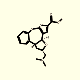 COC(=O)c1cc2c(s1)Sc1ccccc1[C@H]1C[C@H](CN(C)C)O[C@H]21